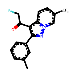 Cc1cccc(-c2nn3cc(C(F)(F)F)ccc3c2C(=O)CF)c1